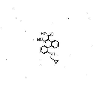 O=C(O)C(=NO)c1ccccc1-c1ccccc1NCC1CC1